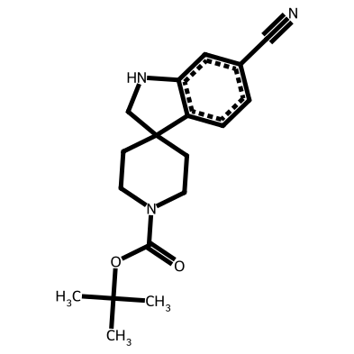 CC(C)(C)OC(=O)N1CCC2(CC1)CNc1cc(C#N)ccc12